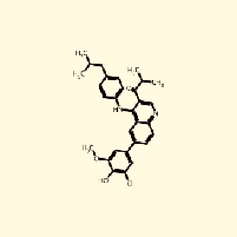 COc1cc(-c2ccc3ncc(C(=O)C(C)C)c(Nc4ccc(CC(C)C)cc4)c3c2)cc(Cl)c1O